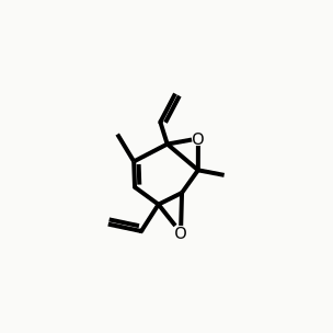 C=CC12C=C(C)C3(C=C)OC3(C)C1O2